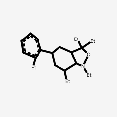 CCc1ccccc1C1CC(CC)C2C(C1)C(CC)(CC)ON2CC